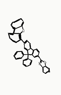 c1ccc(C2(c3ccccc3)c3cc(-c4nc5ccccc5o4)ccc3-c3ccc(-c4cccc5c4oc4ccccc45)cc32)cc1